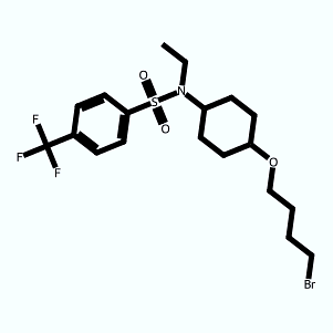 CCN(C1CCC(OCCCCBr)CC1)S(=O)(=O)c1ccc(C(F)(F)F)cc1